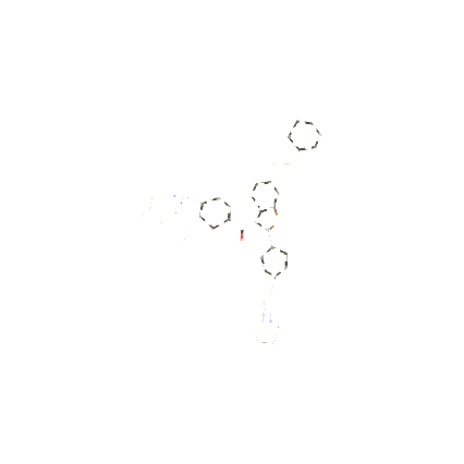 COc1cc(C(=O)c2c(-c3ccc(CCN4CCCC4)cc3)sc3cc(OCc4ccccc4)ccc23)ccc1CN1CCOCC1